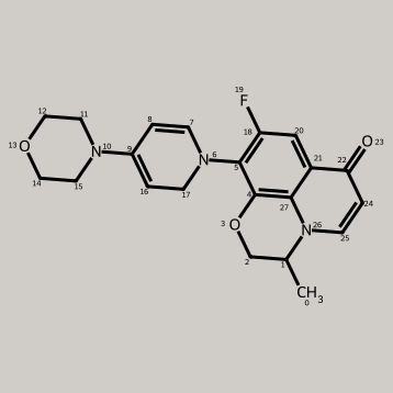 CC1COc2c(N3C=CC(N4CCOCC4)=CC3)c(F)cc3c(=O)ccn1c23